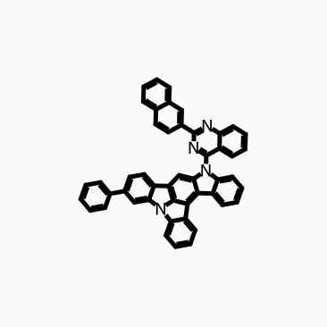 c1ccc(-c2ccc3c4cc5c(c6ccccc6n5-c5nc(-c6ccc7ccccc7c6)nc6ccccc56)c5c6ccccc6n(c3c2)c45)cc1